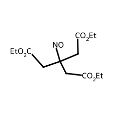 CCOC(=O)CC(CC(=O)OCC)(CC(=O)OCC)N=O